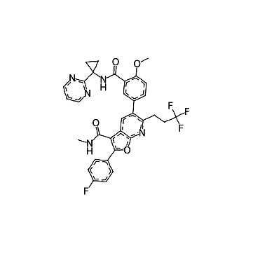 CNC(=O)c1c(-c2ccc(F)cc2)oc2nc(CCC(F)(F)F)c(-c3ccc(OC)c(C(=O)NC4(c5ncccn5)CC4)c3)cc12